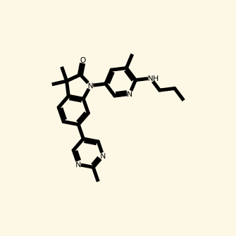 CCCNc1ncc(N2C(=O)C(C)(C)c3ccc(-c4cnc(C)nc4)cc32)cc1C